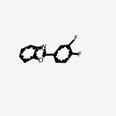 Fc1ccc(-c2nc3ccccc3o2)cc1F